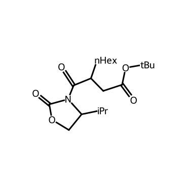 CCCCCCC(CC(=O)OC(C)(C)C)C(=O)N1C(=O)OCC1C(C)C